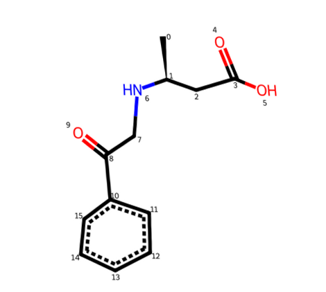 C[C@@H](CC(=O)O)NCC(=O)c1ccccc1